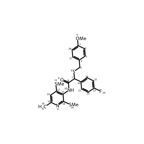 COc1ccc(CSC(C(=O)Nc2c(SC)cc(C)nc2SC)c2ccc(F)cc2)cc1